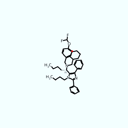 CCCC[C@@H](c1c(-c2ccccc2)nc(-c2ccccc2)n1CCCC)N(Cc1ccc(OC(F)F)cc1)CC1CCCCC1